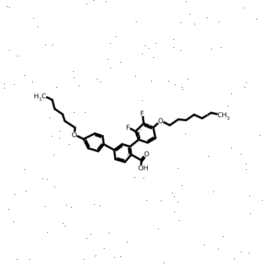 CCCCCCCOc1ccc(-c2cc(-c3ccc(OCCCCCC)cc3)ccc2C(=O)O)c(F)c1F